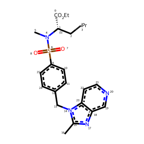 CCOC(=O)[C@H](CC(C)C)N(C)S(=O)(=O)c1ccc(Cn2c(C)nc3cnccc32)cc1